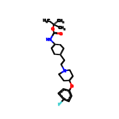 CC(C)(C)OC(=O)NC1CCC(CCN2CCC(Oc3ccc(F)cc3)CC2)CC1